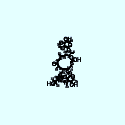 CC[C@H]1OC(O)CC[C@H](C)C(SO[C@@H]2O[C@H](C)[C@@H](O)C(N(C)C)C2O)[C@@H](CCn2cc(C(C)(C)O)nn2)C[C@@H](C)C(=O)/C=C/C(C)=C/[C@@H]1CO[C@@H]1OC(C)[C@@H](O)[C@H](OC)C1OC